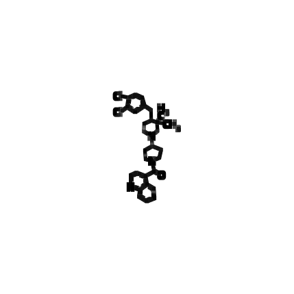 CC1(C)CN(C2CCN(C(=O)c3ccnc4ccccc34)CC2)CCC1Cc1ccc(Cl)c(Cl)c1